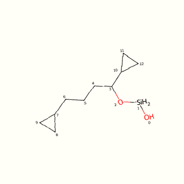 O[SiH2]OC(CCCC1CC1)C1CC1